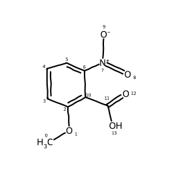 COc1cccc([N+](=O)[O-])c1C(=O)O